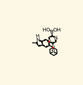 Cc1cc2cc(CN3C4CC3CN(c3cnc(B(O)O)cn3)C4)ccc2[nH]1